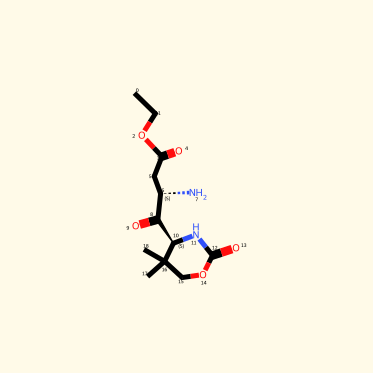 CCOC(=O)C[C@H](N)C(=O)[C@H]1NC(=O)OCC1(C)C